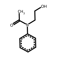 CC(=O)N(CCO)c1ccccc1